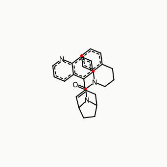 O=C(N1CCCc2ccccc21)N1C2C=C(c3cccc4ncccc34)CC1CC2